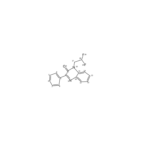 O=c1c(-c2ccccc2)nc2ccccc2n1CC(F)F